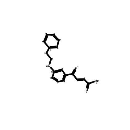 O=C(O)C=CC(=O)c1cccc(OCCc2ccccc2)c1